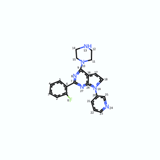 Fc1ccccc1-c1nc(N2CCNCC2)c2ccn(-c3cccnc3)c2n1